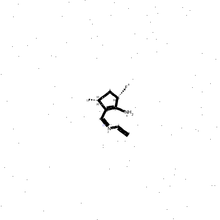 C=C/N=C\C1=C(N)[C@@H](F)C[C@H]1C